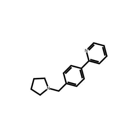 c1ccc(-c2ccc(CN3CCCC3)cc2)nc1